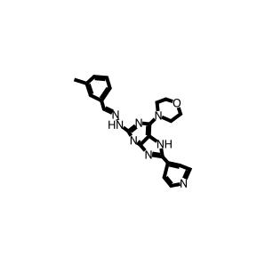 Cc1cccc(/C=N/Nc2nc(N3CCOCC3)c3[nH]c(-c4ccncc4)nc3n2)c1